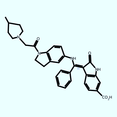 CC1CCN(CC(=O)N2CCc3cc(N/C(=C4\C(=O)Nc5cc(C(=O)O)ccc54)c4ccccc4)ccc32)CC1